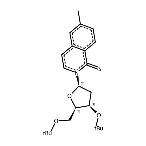 Cc1ccc2c(=S)n([C@H]3C[C@@H](OC(C)(C)C)[C@@H](COC(C)(C)C)O3)ccc2c1